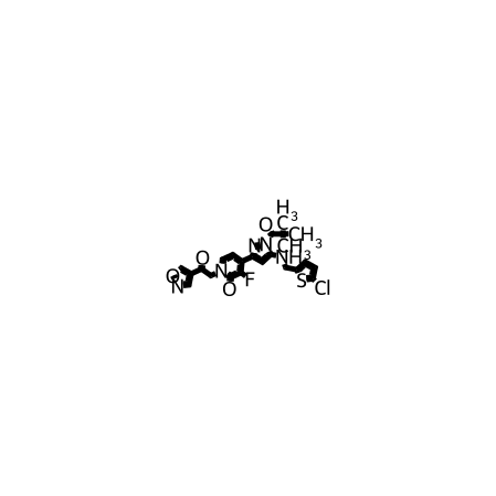 CC(C)(C)C(=O)n1nc(-c2ccn(CC(=O)c3cnoc3)c(=O)c2F)cc1NCc1ccc(Cl)s1